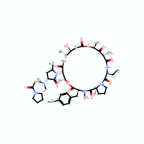 CCC(=O)N1CCC[C@H]1CN(C)[C@@H]1CC(C)N([C@@H]2C(=O)N[C@H]([C@@H](C)CC)[C@@H](O)CC(=O)O[C@@H](C(C)C)C(=O)[C@H](C)C(=O)N[C@@H](CC(C)C)C(=O)N3CCC[C@H]3C(=O)N(C)[C@@H](Cc3ccc(OC)cc3)C(=O)O[C@@H]2C)C1=O